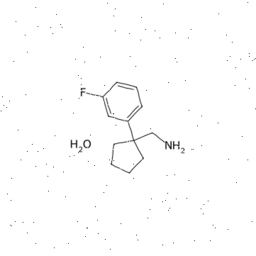 NCC1(c2cccc(F)c2)CCCC1.O